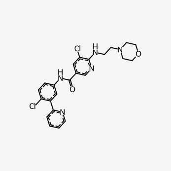 O=C(Nc1ccc(Cl)c(-c2ccccn2)c1)c1cnc(NCCN2CCOCC2)c(Cl)c1